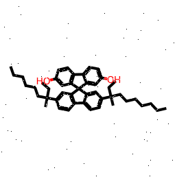 CCCCCCCC(C)(CC)c1ccc2c(c1)C1(c3cc(O)ccc3-c3ccc(O)cc31)c1cc(C(C)(CC)CCCCCC)ccc1-2